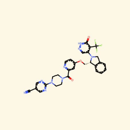 N#Cc1cnc(N2CCN(C(=O)c3cc(OC[C@H]4c5ccccc5CN4c4cn[nH]c(=O)c4C(F)(F)F)ccn3)CC2)nc1